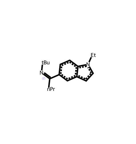 CCC/C(=N/C(C)(C)C)c1ccc2c(ccn2CC)c1